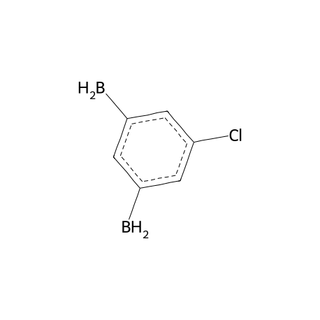 Bc1cc(B)cc(Cl)c1